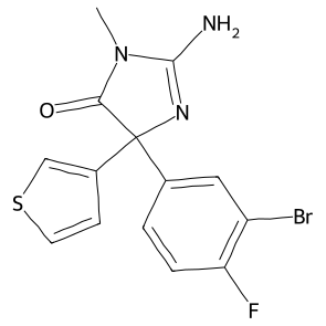 CN1C(=O)C(c2ccsc2)(c2ccc(F)c(Br)c2)N=C1N